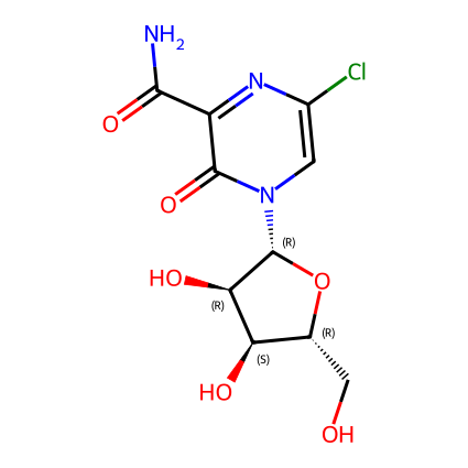 NC(=O)c1nc(Cl)cn([C@@H]2O[C@H](CO)[C@@H](O)[C@H]2O)c1=O